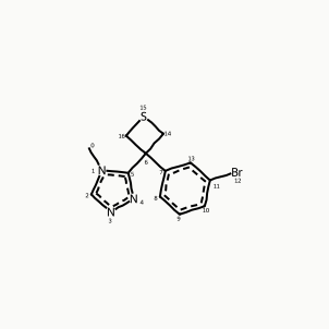 Cn1cnnc1C1(c2cccc(Br)c2)CSC1